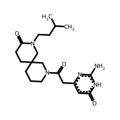 CC(C)CCN1CC2(CCCN(C(=O)Cc3cc(=O)[nH]c(N)n3)C2)CCC1=O